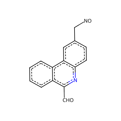 O=Cc1nc2ccc(CN=O)cc2c2ccccc12